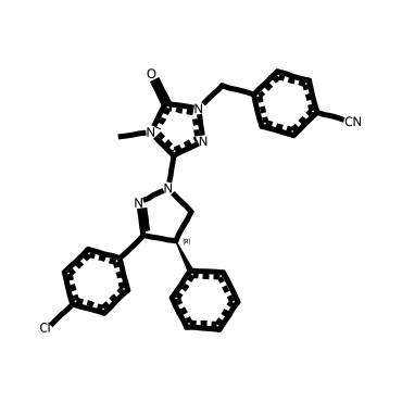 Cn1c(N2C[C@@H](c3ccccc3)C(c3ccc(Cl)cc3)=N2)nn(Cc2ccc(C#N)cc2)c1=O